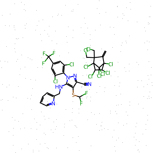 C=C1C(CCl)(CCl)C2(Cl)C(Cl)C(Cl)C1(Cl)C2(Cl)Cl.N#Cc1nn(-c2c(Cl)cc(C(F)(F)F)cc2Cl)c(NCc2ccccn2)c1SC(F)F